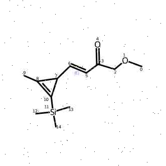 COCC(=O)/C=C/C1C(C)=C1[Si](C)(C)C